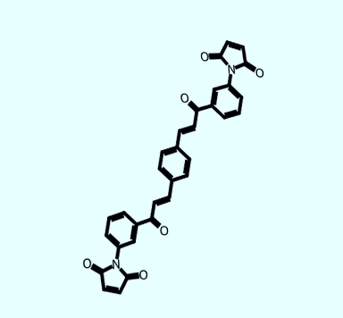 O=C(C=Cc1ccc(C=CC(=O)c2cccc(N3C(=O)C=CC3=O)c2)cc1)c1cccc(N2C(=O)C=CC2=O)c1